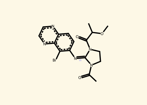 COC(C)C(=O)N1CCN(C(C)=O)/C1=N/c1ccc2nccnc2c1Br